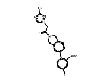 COc1cc(F)ccc1-c1ccc2c(c1)CN(C(=O)Cn1cnc(C#N)n1)C2